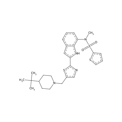 CN(c1cccc2cc(-c3ncc(CN4CCC(C(C)(C)C)CC4)s3)[nH]c12)S(=O)(=O)c1cccs1